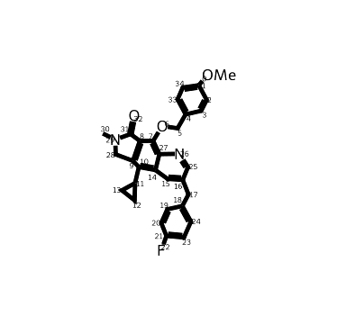 COc1ccc(COc2c3c(c(C4CC4)c4cc(Cc5ccc(F)cc5)cnc24)CN(C)C3=O)cc1